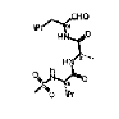 CC(C)C[C@@H](C=O)NC(=O)[C@H](C)NC(=O)[C@@H](NS(C)(=O)=O)C(C)C